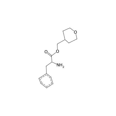 NC(Cc1ccccc1)C(=O)OCC1CCOCC1